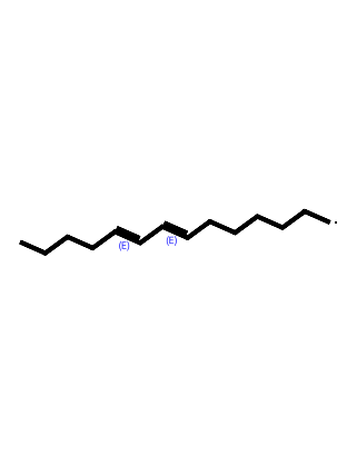 [CH2]CCCCC/C=C/C=C/CCCC